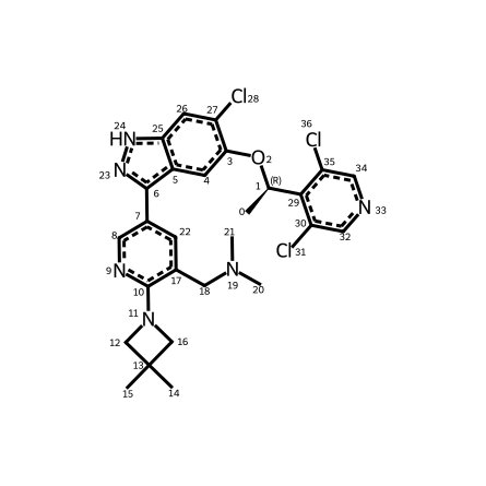 C[C@@H](Oc1cc2c(-c3cnc(N4CC(C)(C)C4)c(CN(C)C)c3)n[nH]c2cc1Cl)c1c(Cl)cncc1Cl